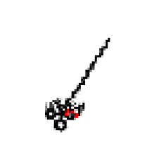 CCCCCCCCCCCCCCCCCCC(O)C(O)(C(=O)N1CCCC1)C(O)C(c1ccccc1)(c1ccccc1)c1ccccc1